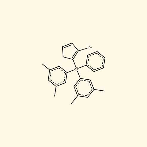 Cc1cc(C)cc([Si](C2=C(C(C)C)C=CC2)(c2ccccc2)c2cc(C)cc(C)c2)c1